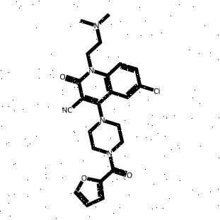 CN(C)CCn1c(=O)c(C#N)c(N2CCN(C(=O)c3ccco3)CC2)c2cc(Cl)ccc21